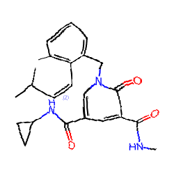 CNC(=O)c1cc(C(=O)NC2CC2)cn(Cc2cccc(C)c2/C=C\C(C)C)c1=O